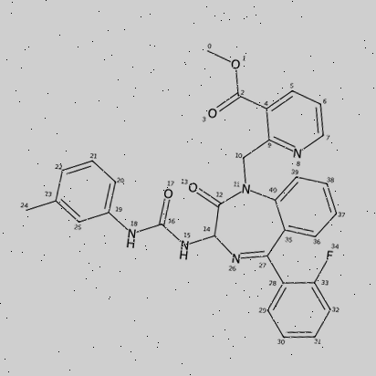 COC(=O)c1cccnc1CN1C(=O)C(NC(=O)Nc2cccc(C)c2)N=C(c2ccccc2F)c2ccccc21